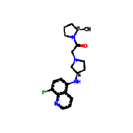 N#C[C@@H]1CCCN1C(=O)CN1CC[C@@H](Nc2ccc(F)c3ncccc23)C1